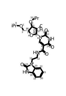 CC(C)OC[C@H]1O[C@@H](n2cc(C(=O)NCCn3c(=O)[nH]c4ccccc43)c(=O)[nH]c2=O)[C@@H](C)C1OC(C)C